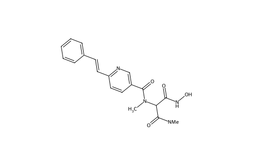 CNC(=O)C(C(=O)NO)N(C)C(=O)c1ccc(C=Cc2ccccc2)nc1